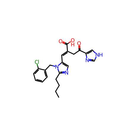 CCCCc1ncc(/C=C(\CC(=O)c2c[nH]cn2)C(=O)O)n1Cc1ccccc1Cl